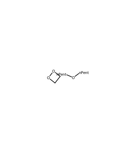 C1COO1.CCCCCOCCCCC